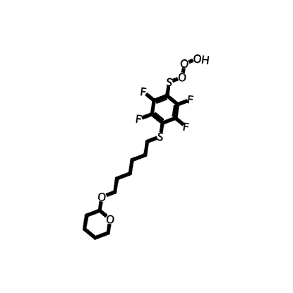 OOOSc1c(F)c(F)c(SCCCCCCOC2CCCCO2)c(F)c1F